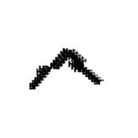 Br.Br.Br.Br.Br.[Br-].[Br-].[Br-].[Br-].[Br-].[Br-].[Br-].[Br-].[Br-].[Br-].[Na+].[Na+].[Na+].[Na+].[Na+].[Na+].[Na+].[Na+].[Na+].[Na+]